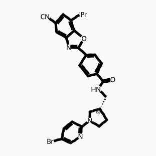 [C-]#[N+]c1cc(C(C)C)c2oc(-c3ccc(C(=O)NC[C@@H]4CCN(c5ccc(Br)cn5)C4)cc3)nc2c1